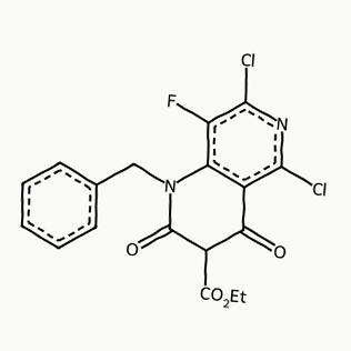 CCOC(=O)C1C(=O)c2c(Cl)nc(Cl)c(F)c2N(Cc2ccccc2)C1=O